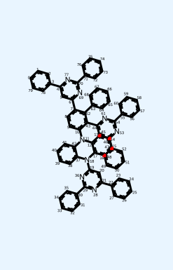 c1ccc(-c2cc(-c3ccc(N4c5ccccc5N(c5cc(-c6ccccc6)nc(-c6ccccc6)n5)c5ccccc54)c(-c4cc(-c5ccccc5)nc(-c5ccccc5)n4)c3-c3ccccc3)nc(-c3ccccc3)n2)cc1